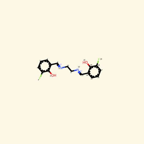 Oc1c(F)cccc1/C=N/CC/N=C/c1cccc(F)c1O